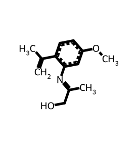 C=C(C)c1ccc(OC)cc1/N=C(\C)CO